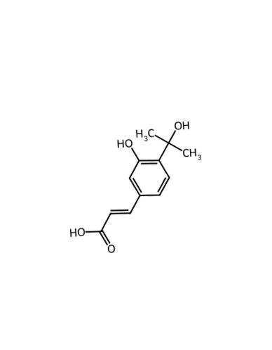 CC(C)(O)c1ccc(C=CC(=O)O)cc1O